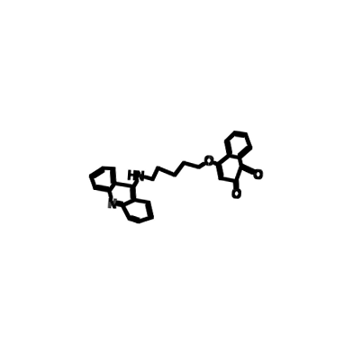 O=C1C=C(OCCCCCNc2c3ccccc3nc3ccccc23)c2ccccc2C1=O